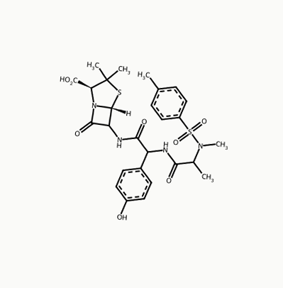 Cc1ccc(S(=O)(=O)N(C)C(C)C(=O)NC(C(=O)NC2C(=O)N3[C@@H]2SC(C)(C)[C@@H]3C(=O)O)c2ccc(O)cc2)cc1